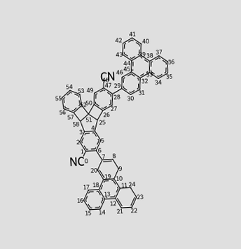 N#Cc1cc2c(cc1C1=CCc3c4c(c5ccccc5c3=C1)=CC=CC4)C1c3cc(-c4ccc5c6ccccc6c6ccccc6c5c4)c(C#N)cc3C13c1ccccc1C23